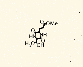 COC(=O)CCC1NC(=O)C(C(C)O)NC1=O